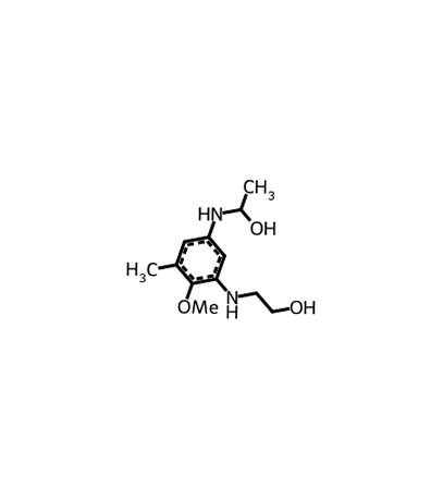 COc1c(C)cc(NC(C)O)cc1NCCO